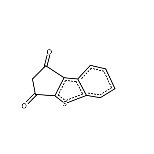 O=C1CC(=O)c2c1sc1ccccc21